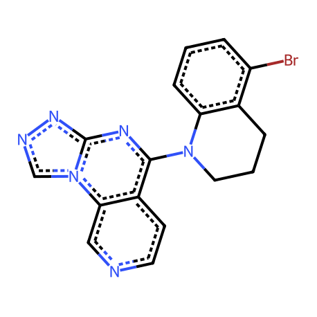 Brc1cccc2c1CCCN2c1nc2nncn2c2cnccc12